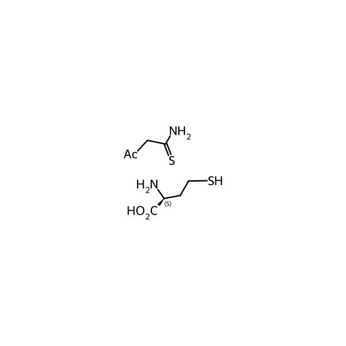 CC(=O)CC(N)=S.N[C@@H](CCS)C(=O)O